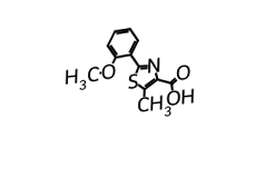 COc1ccccc1-c1nc(C(=O)O)c(C)s1